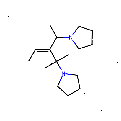 CC=C(C(C)N1CCCC1)C(C)(C)N1CCCC1